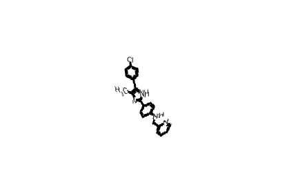 Cc1nc(-c2ccc(NCc3ccccn3)cc2)[nH]c1-c1ccc(Cl)cc1